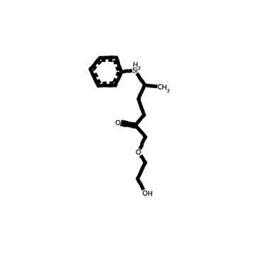 CC(CCC(=O)COCCO)[SiH2]c1ccccc1